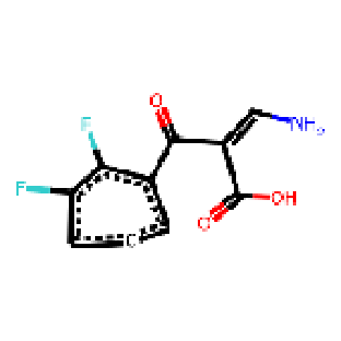 NC=C(C(=O)O)C(=O)c1cccc(F)c1F